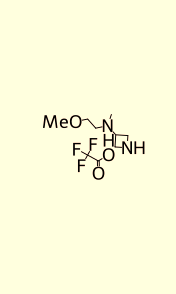 COCCN(C)C1CNC1.O=C(O)C(F)(F)F